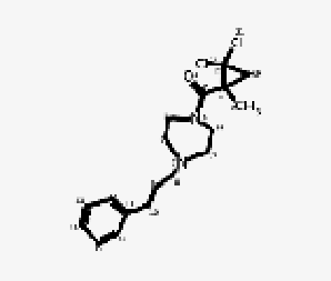 CC1(C(=O)N2CCN(CCCc3ccccc3)CC2)CC1(Cl)Cl